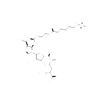 CN(CC[C@H](N)C(=O)O)C(=O)[C@H]1OC(n2cnc3c(N)nc(NCCNC(=O)CCCCCNS(C)(=O)=O)nc32)[C@H](O)[C@@H]1O